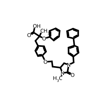 CN1C(=O)N(Cc2ccc(-c3ccccc3)cc2)CC1CCOc1ccc(CC(C)(Oc2ccccc2)C(=O)O)cc1